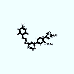 CNc1cc(-c2cc(NCCc3c(F)cc(Br)cc3F)ncn2)ccc1-c1noc(O)n1